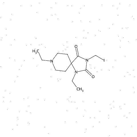 CCN1CCC2(CC1)C(=O)N(CI)C(=O)N2CC